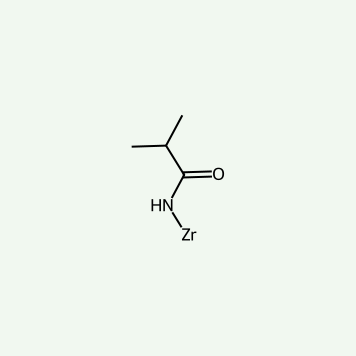 CC(C)C(=O)[NH][Zr]